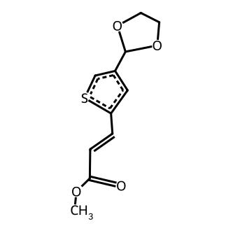 COC(=O)C=Cc1cc(C2OCCO2)cs1